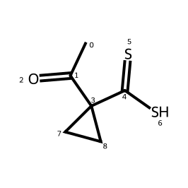 CC(=O)C1(C(=S)S)CC1